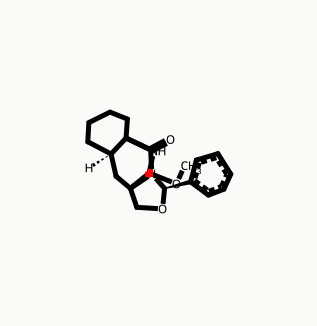 COC1NC23CCCC[C@@H]2CC12CO[C@H](c1ccccc1)N2C3=O